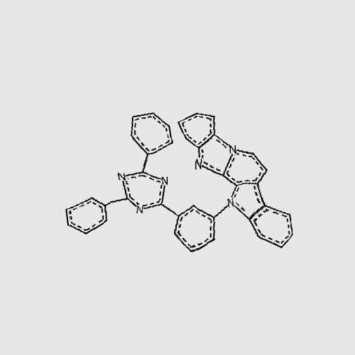 c1ccc(-c2nc(-c3ccccc3)nc(-c3cccc(-n4c5ccccc5c5ccn6c7ccccc7nc6c54)c3)n2)cc1